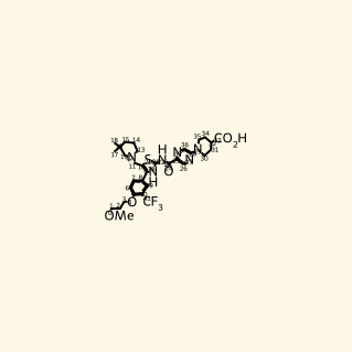 COCCCOc1ccc(C2=C(CN3CCCC(C)(C)C3)SC(NC(=O)c3cnc(N4CCC(C(=O)O)CC4)cn3)N2)cc1C(F)(F)F